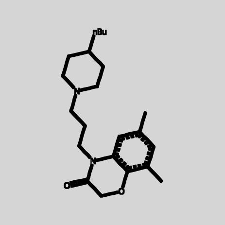 CCCCC1CCN(CCCN2C(=O)COc3c(C)cc(C)cc32)CC1